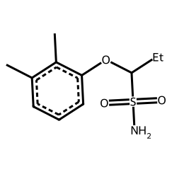 CCC(Oc1cccc(C)c1C)S(N)(=O)=O